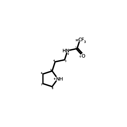 O=C(NCCC1CCCN1)C(F)(F)F